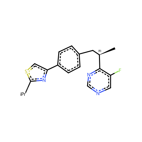 CC(C)c1nc(-c2ccc(C[C@@H](C)c3ncncc3F)cc2)cs1